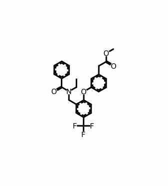 CCN(Cc1cc(C(F)(F)F)ccc1Oc1cccc(CC(=O)OC)c1)C(=O)c1ccccc1